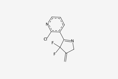 C=C1CN=C(c2cccnc2Cl)C1(F)F